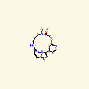 CN1CCCNc2ccc3ncc(n3n2)-c2ccnc(n2)OCC1=O